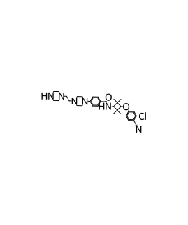 CC1(C)[C@H](NC(=O)c2ccc(N3CCN(CCN4CCNCC4)CC3)cc2)C(C)(C)[C@H]1Oc1ccc(C#N)c(Cl)c1